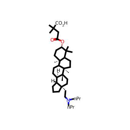 CCCN(CCC)CC[C@]12CCC[C@@H]1[C@H]1CCC3[C@@]4(C)CC[C@H](OC(=O)CC(C)(C)C(=O)O)C(C)(C)C4CC[C@@]3(C)[C@]1(C)CC2